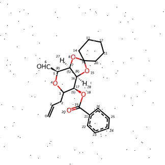 C=CCC1O[C@@H](C=O)[C@H]2OC3(CCCCC3)O[C@H]2[C@H]1OC(=O)c1ccccc1